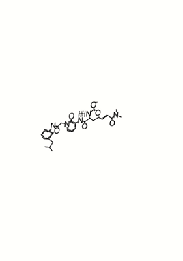 COC(=O)NC(CC/C=C/C(=O)N(C)C)C(=O)Nc1cccn(Cc2nc3cccc(CC(C)C)c3o2)c1=O